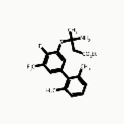 CCOC(=O)CC(C)(N)Sc1cc(-c2c(C)cccc2C)cc(C(F)(F)F)c1F